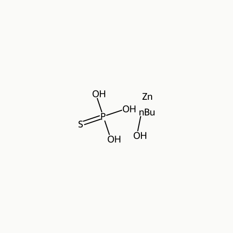 CCCCO.OP(O)(O)=S.[Zn]